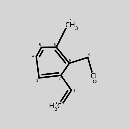 C=Cc1cccc(C)c1CCl